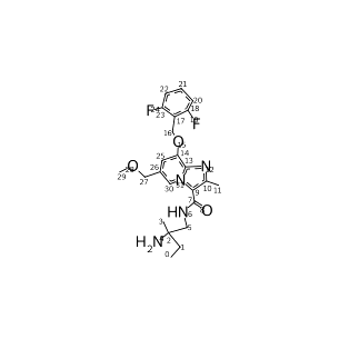 CCC(C)(N)CNC(=O)c1c(C)nc2c(OCc3c(F)cccc3F)cc(COC)cn12